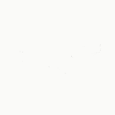 CC(C)(C)[Si](C)(C)OCCCC1CN(Cc2ccccc2)CCN1